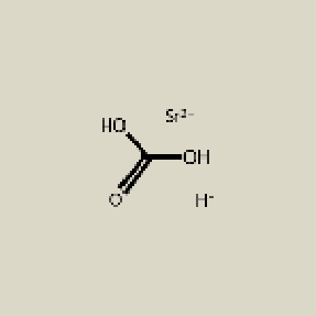 O=C(O)O.[H+].[Sr+2]